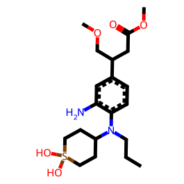 CCCN(c1ccc(C(COC)CC(=O)OC)cc1N)C1CCS(O)(O)CC1